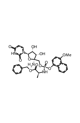 COc1ccc(OP(=O)(N[C@@H](C)C(=O)OCc2ccccc2)OC[C@@]2(N)O[C@@H](n3ccc(=O)[nH]c3=O)[C@H](O)[C@@H]2O)c2ccccc12